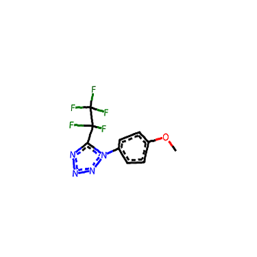 COc1ccc(-n2nnnc2C(F)(F)C(F)(F)F)cc1